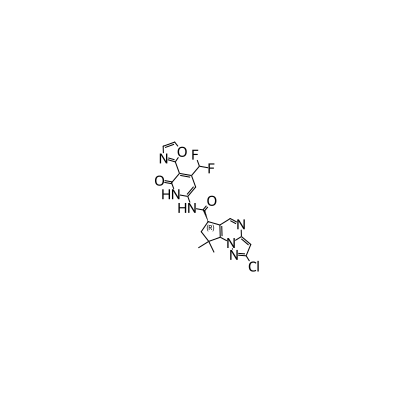 CC1(C)C[C@@H](C(=O)Nc2cc(C(F)F)c(-c3ncco3)c(=O)[nH]2)c2cnc3cc(Cl)nn3c21